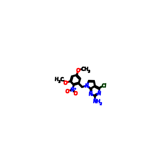 COc1cc(Cn2ccc3c(Cl)nc(N)nc32)c([N+](=O)[O-])c(OC)c1